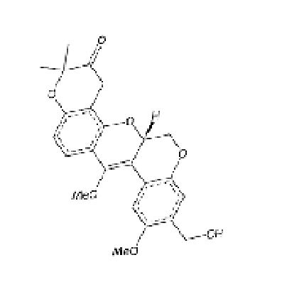 COC1=C2c3cc(OC)c(CO)cc3OC[C@H]2Oc2c1ccc1c2CC(=O)C(C)(C)O1